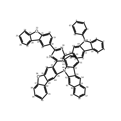 c1ccc(-n2c3ccccc3c3ccc(-c4nc(-c5ccc6oc7ccccc7c6c5)nc(-c5cc6oc7ccccc7c6cc5-n5c6ccccc6c6cc7ccccc7cc65)n4)cc32)cc1